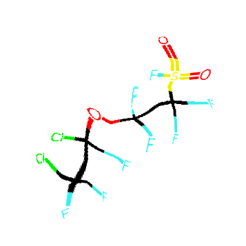 O=S(=O)(F)C(F)(F)C(F)(F)OC(F)(Cl)C(F)(F)Cl